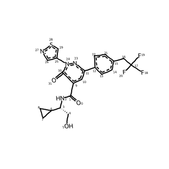 O=C(N[C@H](CO)C1CC1)c1cc(-c2ccc(CC(F)(F)F)cc2)nn(-c2cnsc2)c1=O